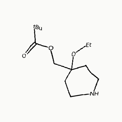 CCOC1(COC(=O)C(C)(C)C)CCNCC1